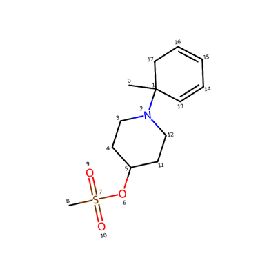 CC1(N2CCC(OS(C)(=O)=O)CC2)C=CC=CC1